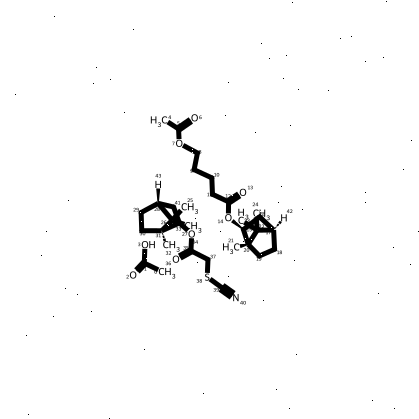 CC(=O)O.CC(=O)OCCCCC(=O)O[C@H]1C[C@H]2CC[C@@]1(C)C2(C)C.CC1(C)[C@@H]2CC[C@]1(C)C(OC(=O)CSC#N)C2